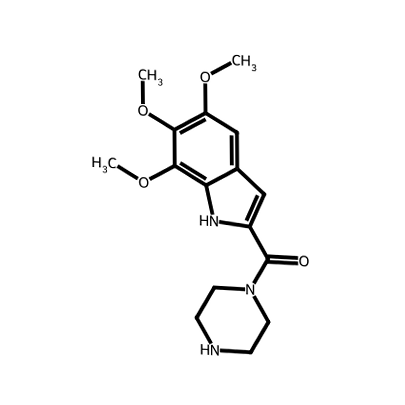 COc1cc2cc(C(=O)N3CCNCC3)[nH]c2c(OC)c1OC